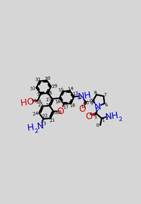 CC(N)C(=O)N1CCC[C@H]1C(=O)Nc1ccc2c(c1)OC1=CC(N)C=CC1=C2c1ccccc1CO